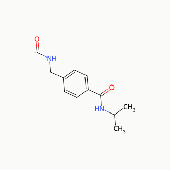 CC(C)NC(=O)c1ccc(CN[C]=O)cc1